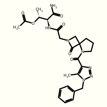 CC(=O)O[C@H](C)[C@H](NC(=O)CN1CC2(CCCN2C(=O)c2nnn(Cc3ccccc3)c2C)C1=O)C(N)=O